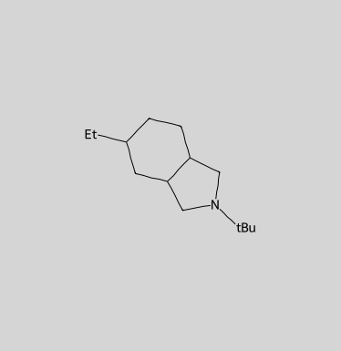 CCC1CCC2CN(C(C)(C)C)CC2C1